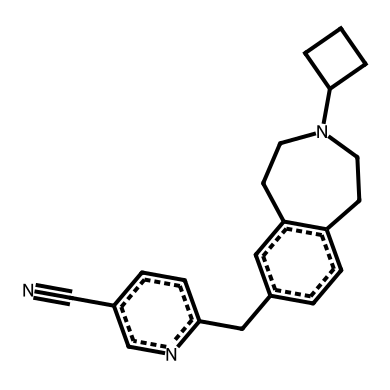 N#Cc1ccc(Cc2ccc3c(c2)CCN(C2CCC2)CC3)nc1